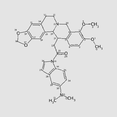 COc1ccc2c(c1OC)CN1CCc3cc4c(cc3C1C2CC(=O)n1ccc2cc(N(C)C)ccc21)OCO4